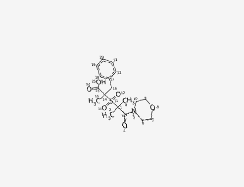 CC(C)(C(=O)N1CCOCC1)S(=O)(=O)C(C)(Cc1ccccc1)C(=O)O